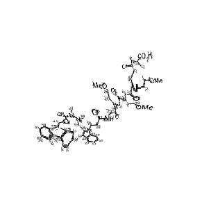 COCCN(CCC(=O)N(C)C(C)C(=O)O)C(=O)CN(CCOC)C(=O)CN(CCOC)C(=O)CNC(=O)CCn1c(CN(C)N(C)C(=O)OCC2c3ccccc3-c3ccccc32)cc2ccccc21